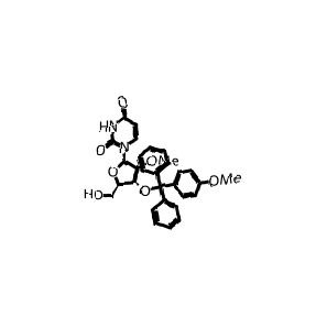 COc1ccc(C(O[C@H]2[C@@H](OC)[C@H](n3ccc(=O)[nH]c3=O)O[C@@H]2CO)(c2ccccc2)c2ccccc2)cc1